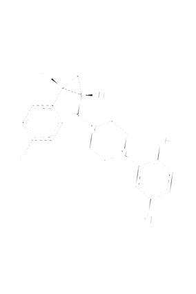 [2H][C@@]1(c2ccc(F)cc2)C[C@]1([2H])C(=O)N1CCN(c2cc(Cl)ccc2C)CC1